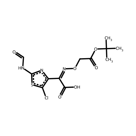 CC(C)(C)OC(=O)CON=C(C(=O)O)c1nc(NC=O)sc1Cl